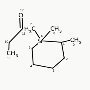 CC1CCCC[Si]1(C)C.CCC=O